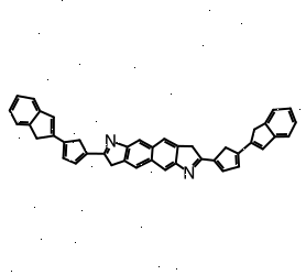 C1=C(C2=Cc3ccccc3C2)CC(C2=Nc3cc4cc5c(cc4cc3C2)N=C(C2=CC=C(C3=Cc4ccccc4C3)C2)C5)=C1